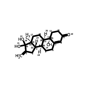 C=C1C[C@H]2[C@@H]3CCC4=CC(=O)CC[C@]4(C)[C@@H]3CC[C@]2(C)C1(O)O